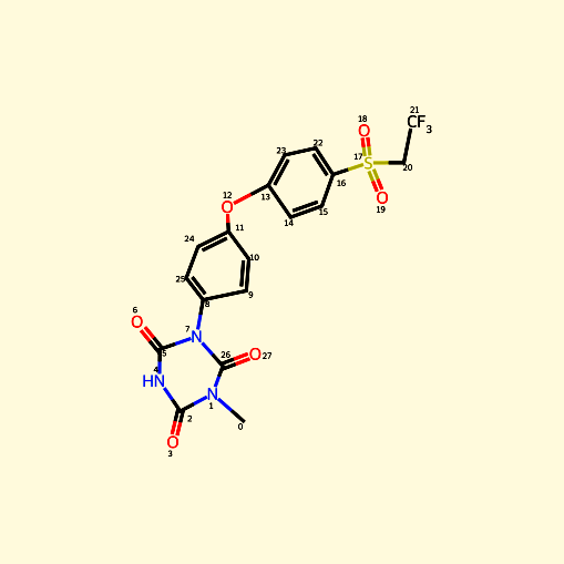 Cn1c(=O)[nH]c(=O)n(-c2ccc(Oc3ccc(S(=O)(=O)CC(F)(F)F)cc3)cc2)c1=O